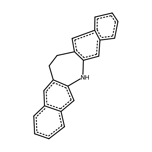 c1ccc2cc3c(cc2c1)CCc1cc2ccccc2cc1N3